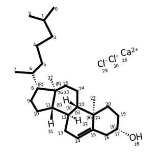 CC(C)CCCC(C)[C@H]1CC[C@H]2[C@@H]3CC=C4C[C@@H](O)CC[C@]4(C)[C@H]3CC[C@]12C.[Ca+2].[Cl-].[Cl-]